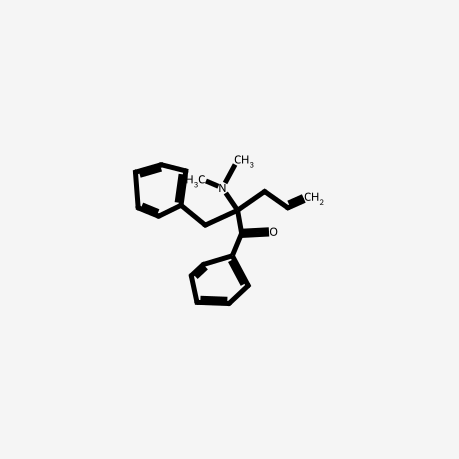 C=CCC(Cc1ccccc1)(C(=O)c1ccccc1)N(C)C